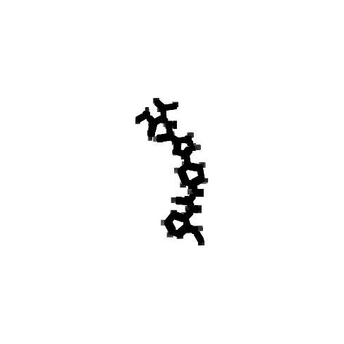 COC(=O)[C@@H](NC(=O)c1cc(-c2ccc(NC(=O)Nc3ccccc3OC)cc2)no1)C(C)C